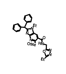 CCc1nnc(CNC(=O)c2cc3c(nc2OC)nc(C(c2ccccc2)c2ccccc2)n3CC)o1